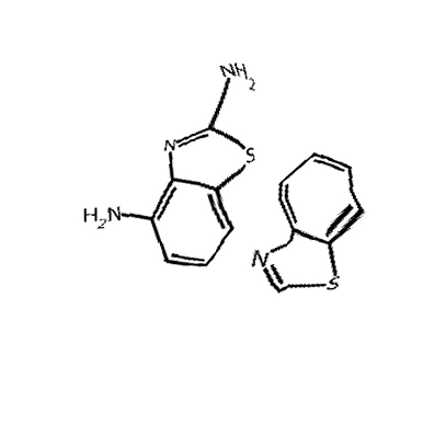 Nc1nc2c(N)cccc2s1.c1ccc2scnc2c1